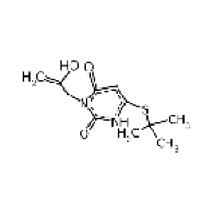 C=C(O)Cn1c(=O)cc(SC(C)(C)C)[nH]c1=O